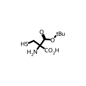 CC(C)(C)OC(=O)C(N)(CS)C(=O)O